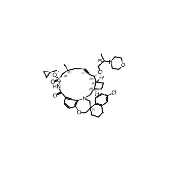 C[C@H](CO[C@H]1/C=C/C[C@H](C)[C@@H](CC2CC2)S(=O)(=O)NC(=O)c2ccc3c(c2)N(C[C@@H]2CC[C@H]21)C[C@@]1(CCCc2cc(Cl)ccc21)CO3)N1CCOCC1